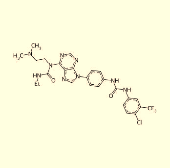 CCNC(=O)N(CCN(C)C)c1ncnc2c1ncn2-c1ccc(NC(=O)Nc2ccc(Cl)c(C(F)(F)F)c2)cc1